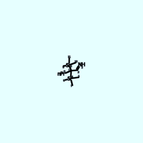 CCCC(C=N)([Si](C)(C)C)[Si](C)(C)C